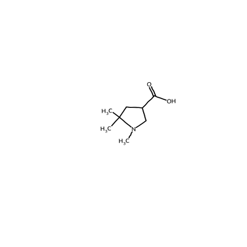 CN1CC(C(=O)O)CC1(C)C